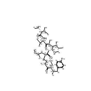 CC[C@H](C)[C@@H]([C@@H](CC(=O)N1C[C@H](OC)C[C@H]1[C@H](OC)[C@@H](C)C(=O)N[C@H](C)Cc1ccc(F)cc1)OC)N(C)C(=O)[C@@H](NC(=O)[C@H](C(C)C)N(C)C)C(C)C